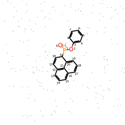 O=[PH](Oc1ccccc1)C1C=Cc2cccc3cccc1c23